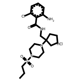 CCCS(=O)(=O)N1CCN(C2(CNC(=O)c3c(N)cccc3Cl)CCCC2)CC1.Cl